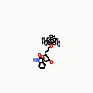 CC(C)(C)[Si](C)(C)OCCC[C@@H]1CC(=O)C[C@]2(O1)C(=O)Nc1ccccc12